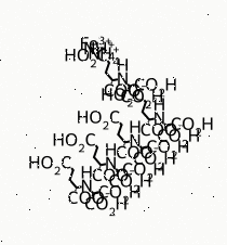 O=C(O)CC[C@H](NC(C(=O)O)C(=O)O)C(=O)[O-].O=C(O)CC[C@H](NC(C(=O)O)C(=O)O)C(=O)[O-].O=C(O)CC[C@H](NC(C(=O)O)C(=O)O)C(=O)[O-].O=C(O)CC[C@H](NC(C(=O)O)C(=O)O)C(=O)[O-].O=C(O)CC[C@H](NC(C(=O)O)C(=O)O)C(=O)[O-].[Fe+3].[NH4+].[NH4+]